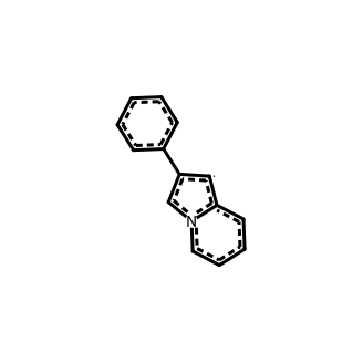 [c]1c(-c2ccccc2)cn2ccccc12